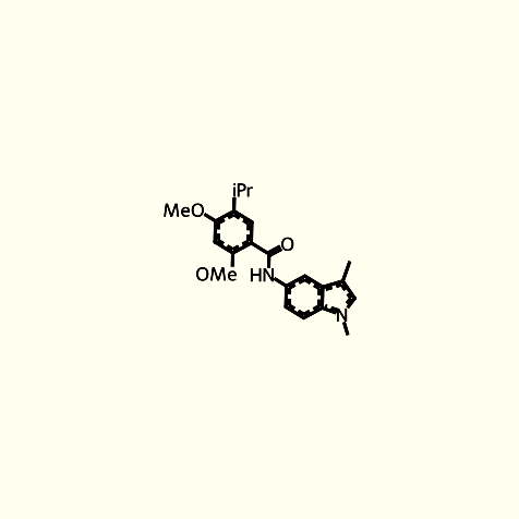 COc1cc(OC)c(C(C)C)cc1C(=O)Nc1ccc2c(c1)c(C)cn2C